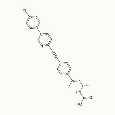 CC(=C[C@H](C)NC(=O)O)c1ccc(C#Cc2ccc(-c3ccc(Cl)cc3)cn2)cc1